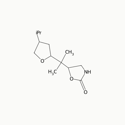 CC(C)C1COC(C(C)(C)C2CNC(=O)O2)C1